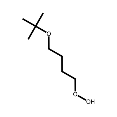 CC(C)(C)OCCCCOO